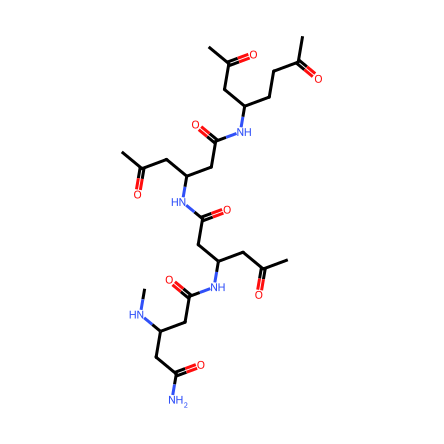 CNC(CC(N)=O)CC(=O)NC(CC(C)=O)CC(=O)NC(CC(C)=O)CC(=O)NC(CCC(C)=O)CC(C)=O